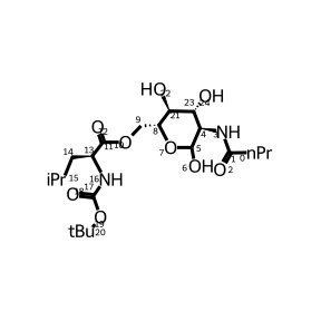 CCCC(=O)N[C@H]1C(O)O[C@H](COC(=O)[C@H](CC(C)C)NC(=O)OC(C)(C)C)[C@@H](O)[C@@H]1O